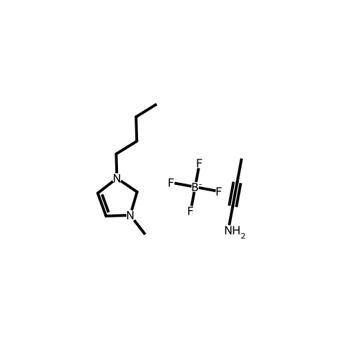 CC#CN.CCCCN1C=CN(C)C1.F[B-](F)(F)F